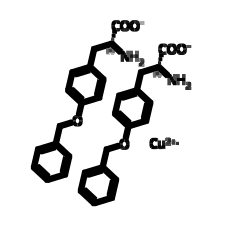 N[C@H](Cc1ccc(OCc2ccccc2)cc1)C(=O)[O-].N[C@H](Cc1ccc(OCc2ccccc2)cc1)C(=O)[O-].[Cu+2]